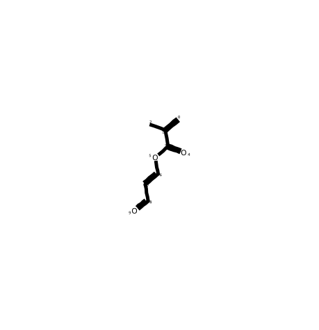 C=C(C)C(=O)OC=C[C]=O